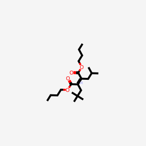 CCCCOC(=O)/C(CC(C)C)=C(/CC(C)(C)C)C(=O)OCCCC